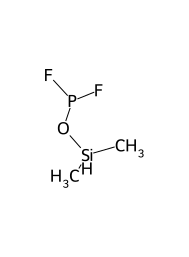 C[SiH](C)OP(F)F